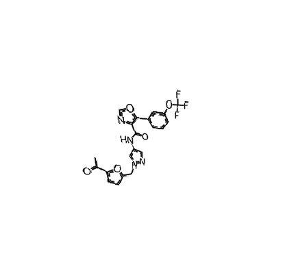 CC(=O)c1ccc(Cn2cc(NC(=O)c3ncoc3-c3cccc(OC(F)(F)F)c3)cn2)o1